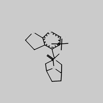 CC(C)(C)OC(=O)N1C2CCC1CN(c1ccnc3c1CCN3)C2